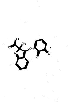 O=C(O)C1(O)N=c2ccccc2=C1O.O=C1C=CC=CC1=O